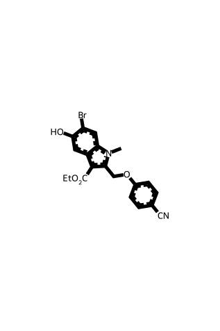 CCOC(=O)c1c(COc2ccc(C#N)cc2)n(C)c2cc(Br)c(O)cc12